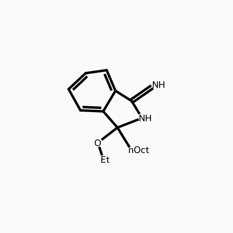 CCCCCCCCC1(OCC)NC(=N)c2ccccc21